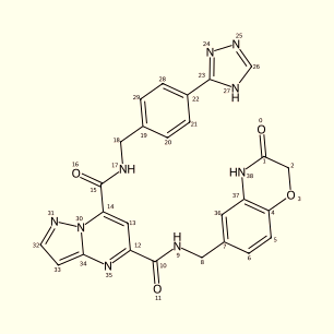 O=C1COc2ccc(CNC(=O)c3cc(C(=O)NCc4ccc(-c5nnc[nH]5)cc4)n4nccc4n3)cc2N1